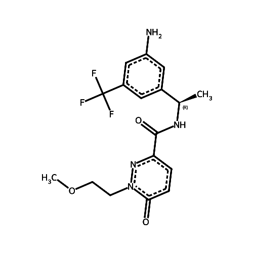 COCCn1nc(C(=O)N[C@H](C)c2cc(N)cc(C(F)(F)F)c2)ccc1=O